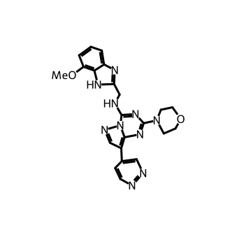 COc1cccc2nc(CNc3nc(N4CCOCC4)nc4c(-c5ccnnc5)cnn34)[nH]c12